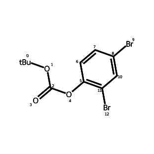 CC(C)(C)OC(=O)Oc1[c]cc(Br)cc1Br